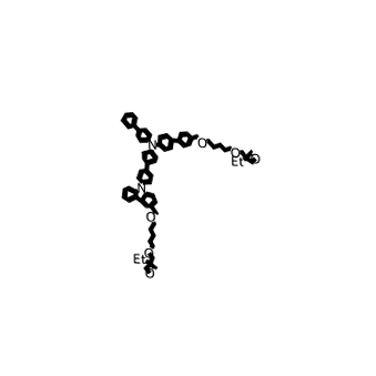 CCC1(COCCCCCOCc2ccc(-c3ccc(N(c4ccc(-c5ccccc5)cc4)c4ccc(-c5ccc(-n6c7ccccc7c7cc(COCCCCCOCC8(CC)COC8)ccc76)cc5)cc4)cc3)cc2)COC1